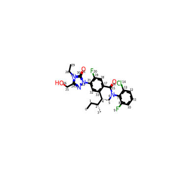 CC[C@@H](C)[C@H]1CN(c2c(F)cccc2Cl)C(=O)c2cc(F)c(-n3nc(CO)n(CC)c3=O)cc21